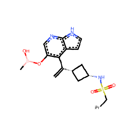 C=C(c1c(OB(C)O)cnc2[nH]ccc12)[C@H]1C[C@@H](NS(=O)(=O)CC(C)C)C1